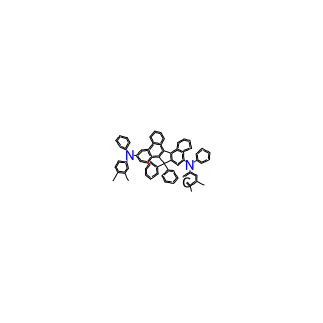 Cc1ccc(N(c2ccccc2)c2ccc3c4c(c5ccccc5c3c2)-c2c(cc(N(c3ccccc3)c3ccc(C)c(C)c3)c3ccccc23)C4(c2ccccc2)c2ccccc2)cc1C